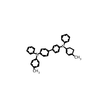 CC1=CC=C(N(c2ccccc2)c2ccc(-c3ccc(N(c4ccccc4)c4ccc(C)cc4)cc3)cc2)CC1